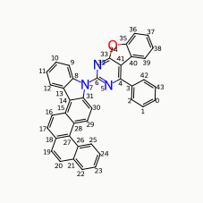 c1ccc(-c2nc(-n3c4ccccc4c4c5ccc6ccc7ccccc7c6c5ccc43)nc3oc4ccccc4c23)cc1